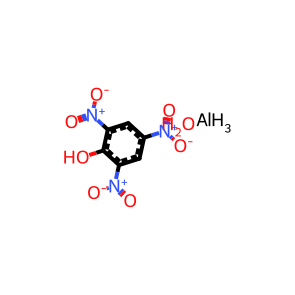 O.O=[N+]([O-])c1cc([N+](=O)[O-])c(O)c([N+](=O)[O-])c1.[AlH3]